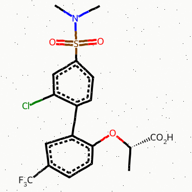 C[C@H](Oc1ccc(C(F)(F)F)cc1-c1ccc(S(=O)(=O)N(C)C)cc1Cl)C(=O)O